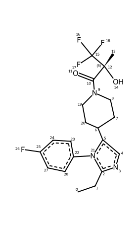 CCc1ncc(C2CCN(C(=O)[C@@](C)(O)C(F)(F)F)CC2)n1-c1ccc(F)cc1